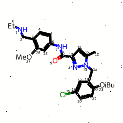 CCNCc1ccc(NC(=O)c2cc(C)n(Cc3cc(Cl)ccc3OCC(C)C)n2)cc1OC